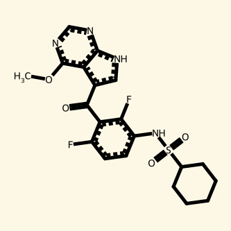 COc1ncnc2[nH]cc(C(=O)c3c(F)ccc(NS(=O)(=O)C4CCCCC4)c3F)c12